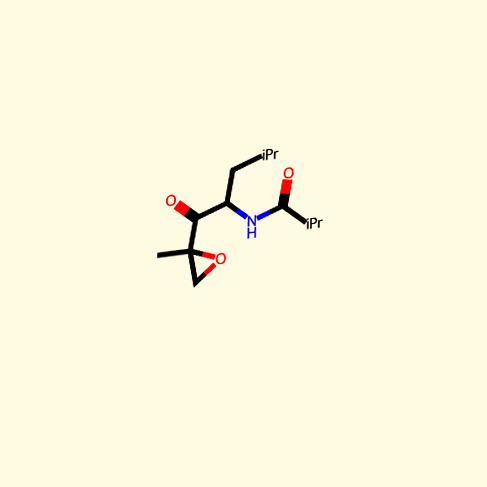 CC(C)CC(NC(=O)C(C)C)C(=O)C1(C)CO1